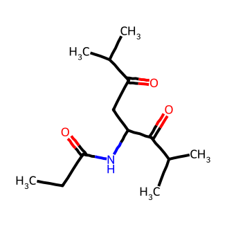 CCC(=O)NC(CC(=O)C(C)C)C(=O)C(C)C